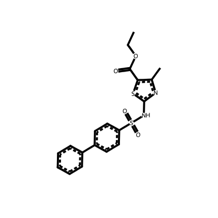 CCOC(=O)c1sc(NS(=O)(=O)c2ccc(-c3ccccc3)cc2)nc1C